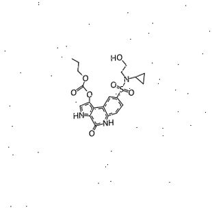 CCCOC(=O)Oc1c[nH]c2c(=O)[nH]c3ccc(S(=O)(=O)N(CCO)C4CC4)cc3c12